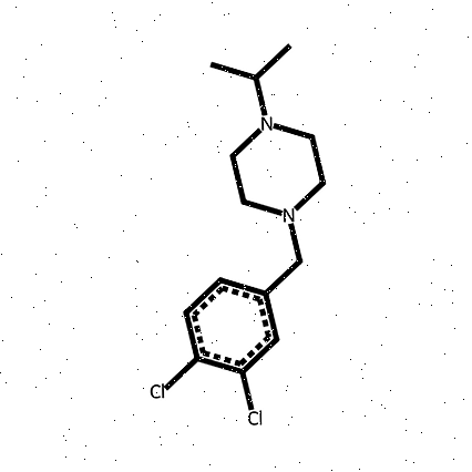 CC(C)N1CCN(Cc2ccc(Cl)c(Cl)c2)CC1